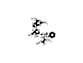 C#C[C@@]1(F)[C@H](O)[C@@H](CO[P@@](=O)(N[C@@H](C)C(=O)OC(C)C)Oc2ccccc2)O[C@H]1n1cnc2c(N)nc(N)nc21